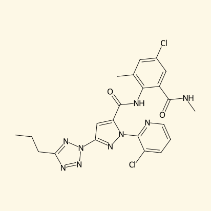 CCCc1nnn(-c2cc(C(=O)Nc3c(C)cc(Cl)cc3C(=O)NC)n(-c3ncccc3Cl)n2)n1